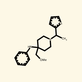 COCC1(Nc2ccccc2)CCN(C(C)c2cccs2)CC1